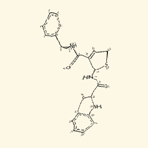 O=C(NCc1ccccc1)C1=CCSC1NC(=O)C1Nc2ccccc2S1